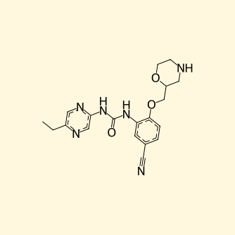 CCc1cnc(NC(=O)Nc2cc(C#N)ccc2OCC2CNCCO2)cn1